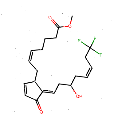 COC(=O)CCC/C=C\CC1C=CC(=O)/C1=C/CC(O)C/C=C\CC(F)(F)F